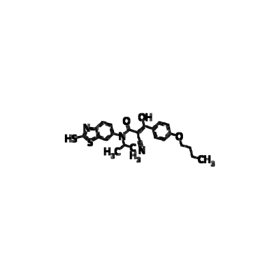 CCCCOc1ccc(/C(O)=C(\C#N)C(=O)N(c2ccc3nc(S)sc3c2)C(C)C)cc1